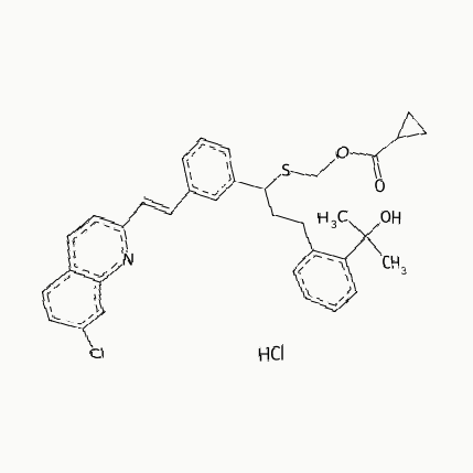 CC(C)(O)c1ccccc1CCC(SCOC(=O)C1CC1)c1cccc(C=Cc2ccc3ccc(Cl)cc3n2)c1.Cl